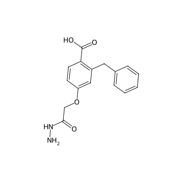 NNC(=O)COc1ccc(C(=O)O)c(Cc2ccccc2)c1